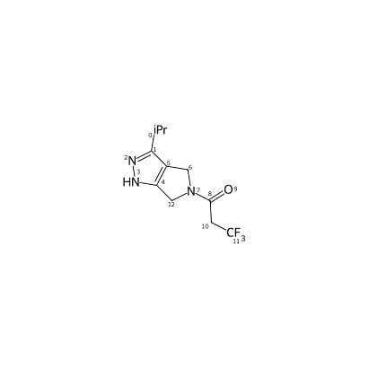 CC(C)c1n[nH]c2c1CN(C(=O)CC(F)(F)F)C2